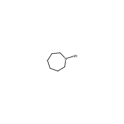 CCCN1CC[CH]CCC1